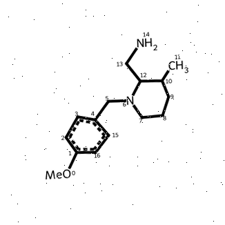 COc1ccc(CN2CCCC(C)C2CN)cc1